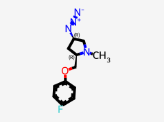 CN1C[C@H](N=[N+]=[N-])C[C@@H]1COc1ccc(F)cc1